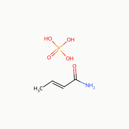 CC=CC(N)=O.O=P(O)(O)O